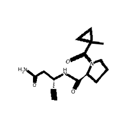 C#C[C@H](CC(N)=O)NC(=O)[C@@H]1CCCN1C(=O)C1(C)CC1